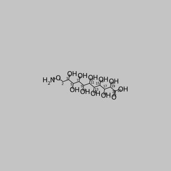 NOCC(O)C(O)C(O)C(O)C(O)C(O)C(O)C(O)C(O)C(=O)O